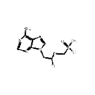 [3H]C(Cn1cnc2c(C)ncnc21)OCP(C)(=O)Cl